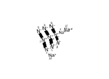 [N-]=[N+]=[N-].[N-]=[N+]=[N-].[N-]=[N+]=[N-].[Na+].[Na+].[Na+]